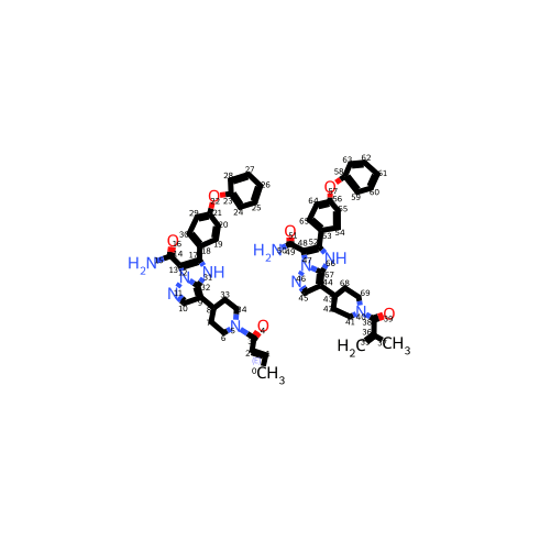 C/C=C/C(=O)N1CCC(c2cnn3c(C(N)=O)c(-c4ccc(Oc5ccccc5)cc4)[nH]c23)CC1.C=C(C)C(=O)N1CCC(c2cnn3c(C(N)=O)c(-c4ccc(Oc5ccccc5)cc4)[nH]c23)CC1